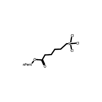 CCCCCOC(=O)CCCCC[Si](Cl)(Cl)Cl